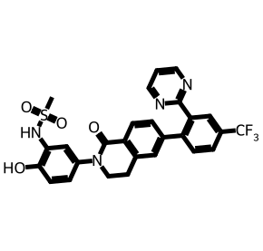 CS(=O)(=O)Nc1cc(N2CCc3cc(-c4ccc(C(F)(F)F)cc4-c4ncccn4)ccc3C2=O)ccc1O